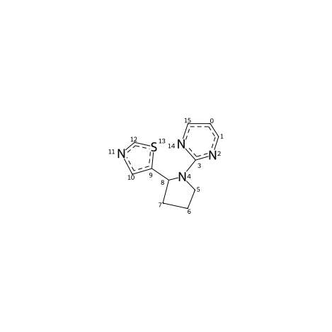 c1cnc(N2CCCC2c2cncs2)nc1